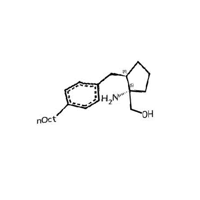 CCCCCCCCc1ccc(C[C@H]2CCC[C@@]2(N)CO)cc1